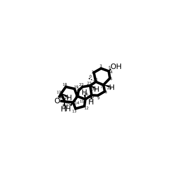 C[C@]12CC[C@@H](O)C[C@@H]1CC[C@H]1[C@@H]3CC[C@@H]4[C@@H]5O[C@@H]5CCC43CC[C@@H]12